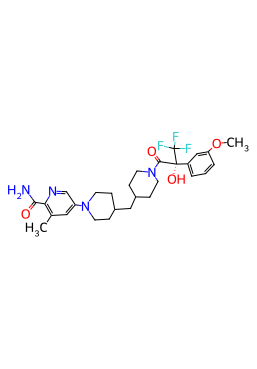 COc1cccc([C@@](O)(C(=O)N2CCC(CC3CCN(c4cnc(C(N)=O)c(C)c4)CC3)CC2)C(F)(F)F)c1